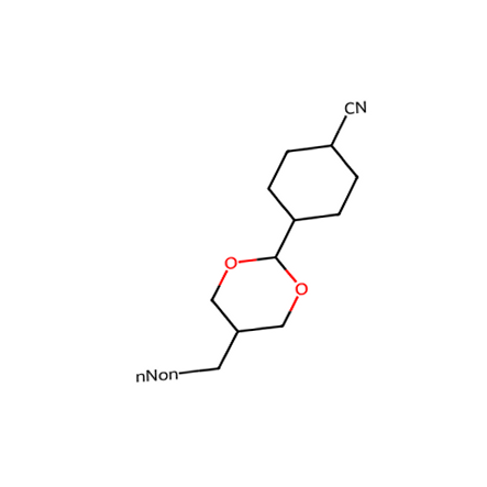 CCCCCCCCCCC1COC(C2CCC(C#N)CC2)OC1